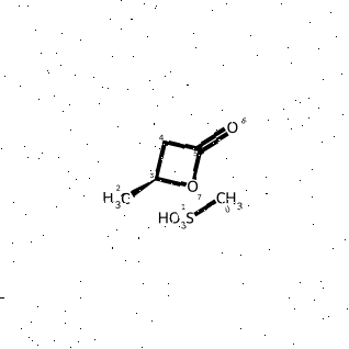 CS(=O)(=O)O.C[C@H]1CC(=O)O1